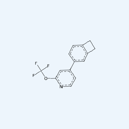 FC(F)(F)Oc1cc(-c2ccc3c(c2)CC3)ccn1